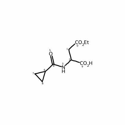 CCOC(=O)CC(NC(=O)C1CC1)C(=O)O